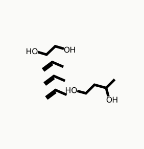 C=CC.C=CC.C=CC.CC(O)CCO.OCCO